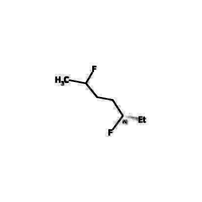 [CH2]C[C@H](F)CCC(C)F